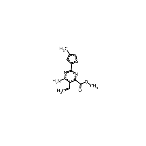 C=Cc1c(N)nc(-c2cc(C)cs2)nc1C(=O)OC